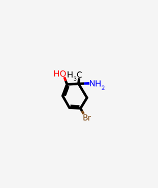 CC1(N)CC(Br)=CC=C1O